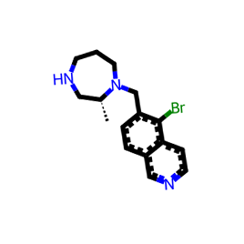 C[C@@H]1CNCCCN1Cc1ccc2cnccc2c1Br